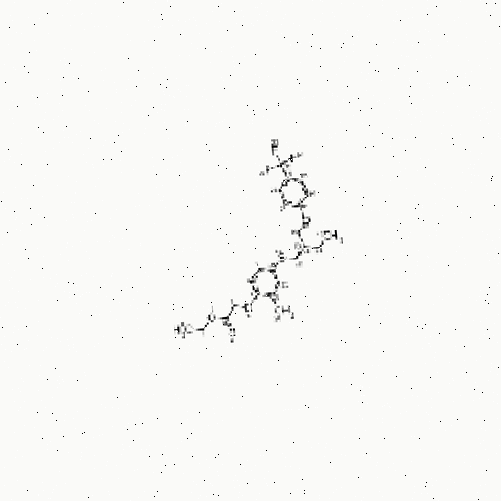 CCOC(=O)COc1ccc(SC[C@H](CC)COc2ccc(C(F)(F)F)cc2)cc1C